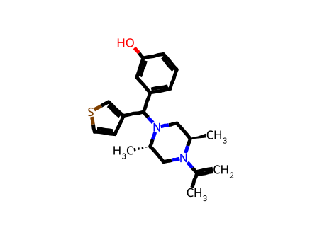 C=C(C)N1C[C@H](C)N(C(c2ccsc2)c2cccc(O)c2)C[C@H]1C